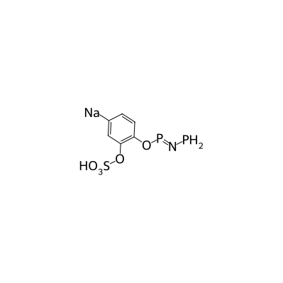 O=S(=O)(O)Oc1c[c]([Na])ccc1OP=NP